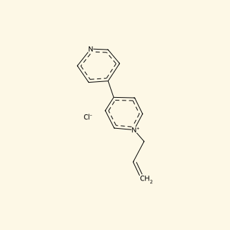 C=CC[n+]1ccc(-c2ccncc2)cc1.[Cl-]